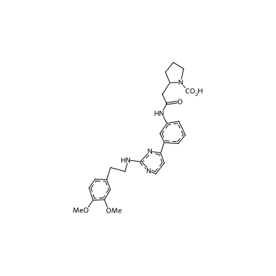 COc1ccc(CCNc2nccc(-c3cccc(NC(=O)CC4CCCN4C(=O)O)c3)n2)cc1OC